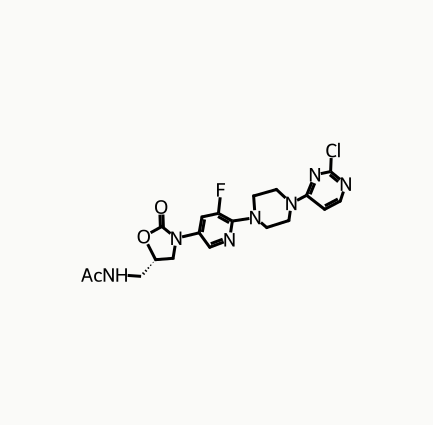 CC(=O)NC[C@H]1CN(c2cnc(N3CCN(c4ccnc(Cl)n4)CC3)c(F)c2)C(=O)O1